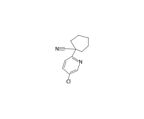 N#CC1(c2ccc(Cl)cn2)CCCCC1